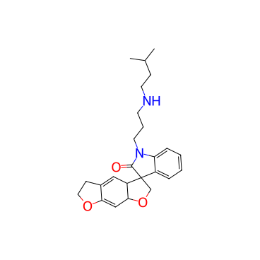 CC(C)CCNCCCN1C(=O)C2(COC3C=C4OCCC4=CC32)c2ccccc21